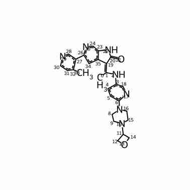 C/C(Nc1ccc(N2CCN(C3COC3)CC2)nc1)=C1/C(=O)Nc2cnc(-c3cnccc3C)cc21